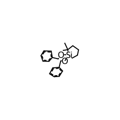 CC1(C)CCCC[Si]1(OCc1ccccc1)OCc1ccccc1